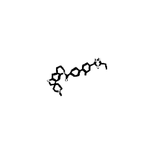 CCc1nnc(-c2ccc(-c3ccc(C(=O)N4CCCc5cc6c(cc54)C4(CCN(C)CC4)CO6)cc3)c(C)c2)o1